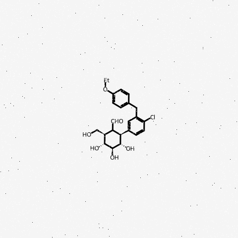 CCOc1ccc(Cc2cc([C@@H]3C(C=O)[C@H](CO)[C@@H](O)[C@H](O)[C@H]3O)ccc2Cl)cc1